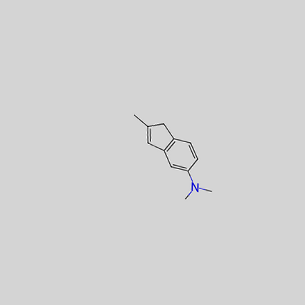 CC1=Cc2cc(N(C)C)ccc2C1